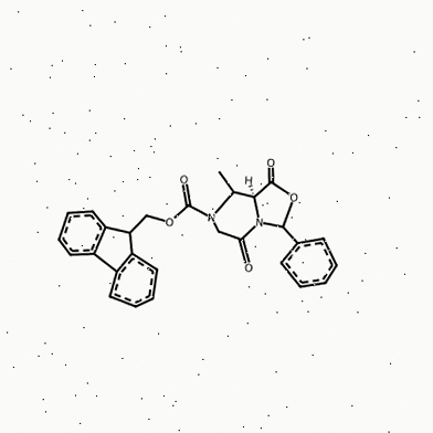 CC1[C@H]2C(=O)OC(c3ccccc3)N2C(=O)CN1C(=O)OCC1c2ccccc2-c2ccccc21